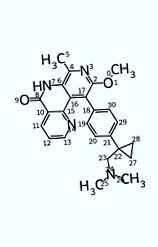 COc1nc(C)c2[nH]c(=O)c3cccnc3c2c1-c1ccc(C2(CN(C)C)CC2)cc1